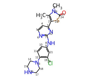 Cc1c(-c2ccnc(Nc3ccc(N4CCNCC4)c(Cl)c3)n2)sc(=O)n1C